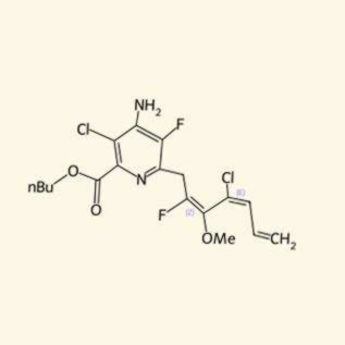 C=C/C=C(Cl)\C(OC)=C(\F)Cc1nc(C(=O)OCCCC)c(Cl)c(N)c1F